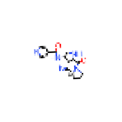 N#C[C@@H]1CCCN1C(=O)C1CC(NC(=O)c2ccncc2)CN1